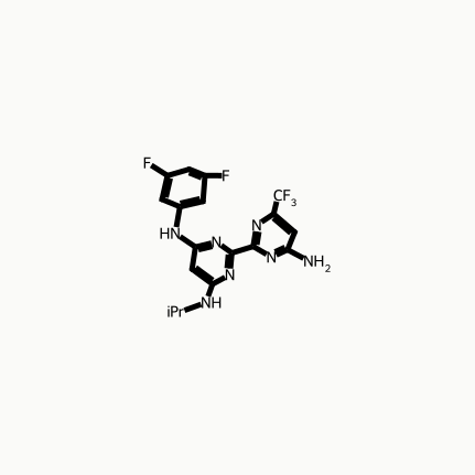 CC(C)Nc1cc(Nc2cc(F)cc(F)c2)nc(-c2nc(N)cc(C(F)(F)F)n2)n1